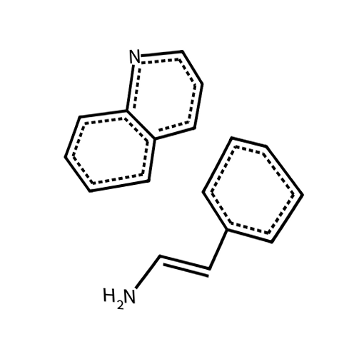 NC=Cc1ccccc1.c1ccc2ncccc2c1